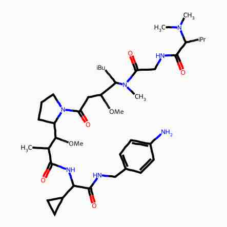 CCC(C)C(C(CC(=O)N1CCCC1C(OC)C(C)C(=O)NC(C(=O)NCc1ccc(N)cc1)C1CC1)OC)N(C)C(=O)CNC(=O)C(C(C)C)N(C)C